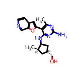 Cc1nc(N)nc(NC2C[C@H](CO)C[C@H]2C)c1-c1cc2ccncc2o1